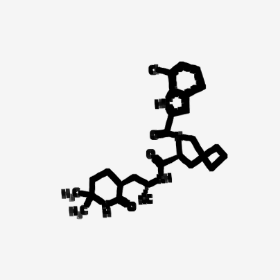 CC1(C)CC[C@@H](C[C@@H](C#N)NC(=O)[C@@H]2CC3(CCC3)CN2C(=O)c2cc3cccc(Cl)c3[nH]2)C(=O)N1